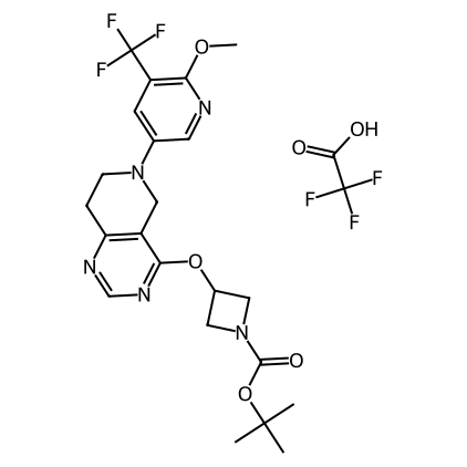 COc1ncc(N2CCc3ncnc(OC4CN(C(=O)OC(C)(C)C)C4)c3C2)cc1C(F)(F)F.O=C(O)C(F)(F)F